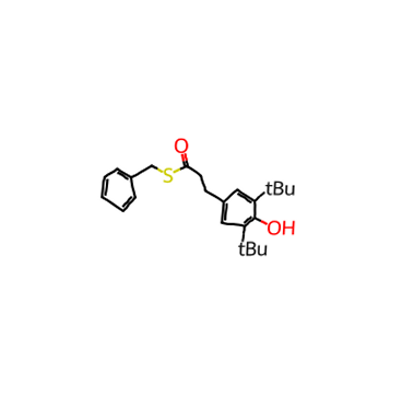 CC(C)(C)c1cc(CCC(=O)SCc2ccccc2)cc(C(C)(C)C)c1O